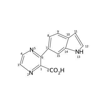 O=C(O)c1nccnc1-c1ccc2cc[nH]c2c1